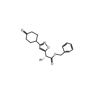 CC(C)[C@@H](C(=O)OCc1ccccc1)c1cc(C2CCC(=O)CC2)no1